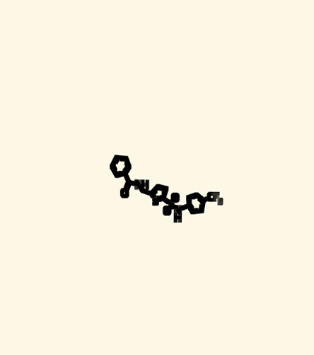 O=C(NCc1ccc(S(=O)(=O)Nc2ccc(C(F)(F)F)cc2)s1)c1ccccc1